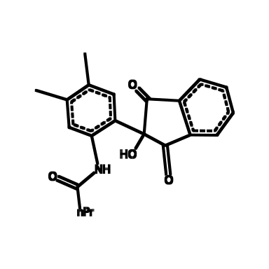 CCCC(=O)Nc1cc(C)c(C)cc1C1(O)C(=O)c2ccccc2C1=O